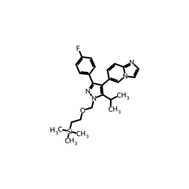 CC(C)c1c(-c2ccc3nccn3c2)c(-c2ccc(F)cc2)nn1COCC[Si](C)(C)C